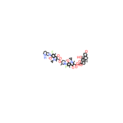 COc1c(N2CCC(OC(=O)c3c(C)n(C4CC4)c4c(OC)c(N5CC6CCCNC6C5)c(F)c(C)c4c3=O)C(C)C2)c(F)c(C)c2c(=O)c(C(=O)OCC(=O)[C@@]3(O)CC[C@H]4[C@@H]5CCC6=CC(=O)C=C[C@]6(C)[C@H]5[C@@H](O)C[C@@]43C)c(C)n(C3CC3)c12